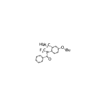 CCC(C)Oc1ccc(P(C(=O)c2ccccc2)C(F)(F)F)c(C)c1.[LiH]